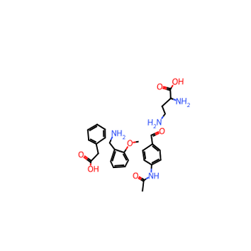 CC(=O)Nc1ccc(C=O)cc1.COc1ccccc1CN.NCCC(N)C(=O)O.O=C(O)Cc1ccccc1